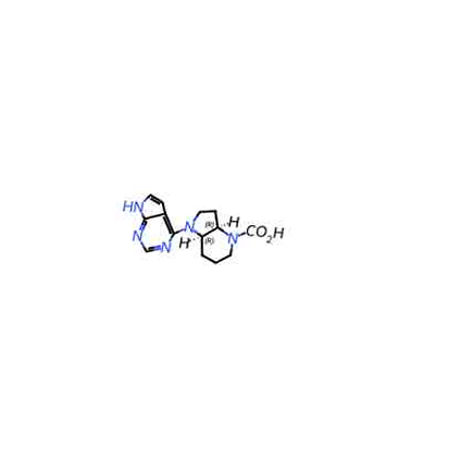 O=C(O)N1CCC[C@@H]2[C@H]1CCN2c1ncnc2[nH]ccc12